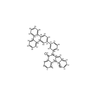 O=c1c2cccnc2n2c3ncccc3cc2n1-c1cccc(-c2ccc3c4ccccc4c4ccccc4c3c2)c1